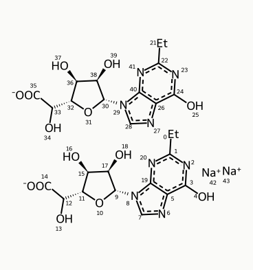 CCc1nc(O)c2ncn([C@@H]3O[C@H](C(O)C(=O)[O-])[C@@H](O)[C@H]3O)c2n1.CCc1nc(O)c2ncn([C@@H]3O[C@H](C(O)C(=O)[O-])[C@@H](O)[C@H]3O)c2n1.[Na+].[Na+]